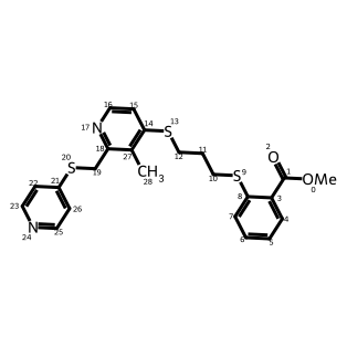 COC(=O)c1ccccc1SCCCSc1ccnc(CSc2ccncc2)c1C